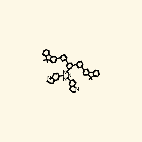 CC1(C)c2ccccc2-c2cc(-c3cccc(-c4cc(-c5cccc(-c6ccc7c(c6)-c6ccccc6C7(C)C)c5)cc(-c5nc(-c6ccc7ncccc7c6)nc(-c6ccc7ncccc7c6)n5)c4)c3)ccc21